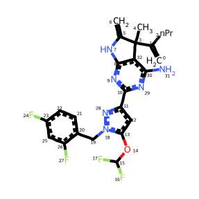 C=C(CCC)C1(C)C(=C)Nc2nc(-c3cc(OC(F)F)n(Cc4ccc(F)cc4F)n3)nc(N)c21